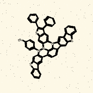 CC(C)(C)c1ccc(N2B3c4cc5sc(-c6ccccc6)c(-c6ccccc6)c5cc4-n4c5cc6c(cc5c5ccc(c3c54)-c3cc4c(cc32)sc2ccccc24)sc2ccccc26)cc1